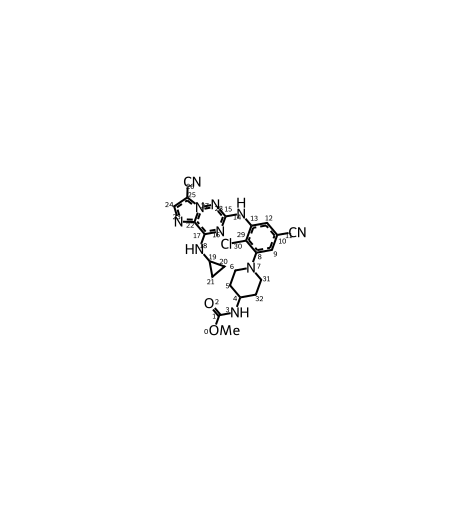 COC(=O)NC1CCN(c2cc(C#N)cc(Nc3nc(NC4CC4)c4ncc(C#N)n4n3)c2Cl)CC1